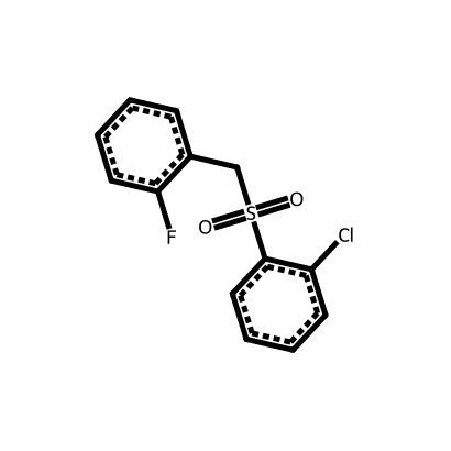 O=S(=O)(Cc1ccccc1F)c1ccccc1Cl